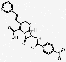 O=C(O)C1=C(C=Cc2cccnc2)CS[C@H]2C(NC(=O)c3ccc([N+](=O)[O-])cc3)C(=O)N12